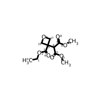 CCOC(=O)C1(C(C(=O)OC)C(=O)OC)COC1